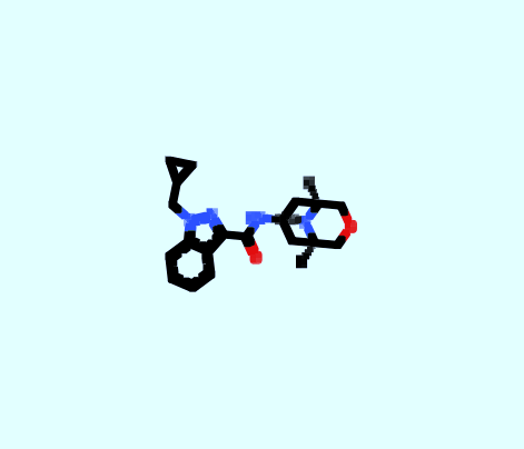 CCCCN1[C@@H]2COC[C@H]1C[C@@H](NC(=O)c1nn(CC3CC3)c3ccccc13)C2